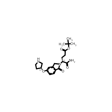 CC(C)(C)OC(=O)CC[C@@H](C(N)=O)N1Cc2cc(O[C@H]3CCNC3)ccc2C1=O